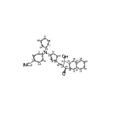 N#Cc1ccc(N(c2ccccc2)c2ccc(/C=C3/C(=O)c4cc5ccccc5cc4C3O)s2)cc1